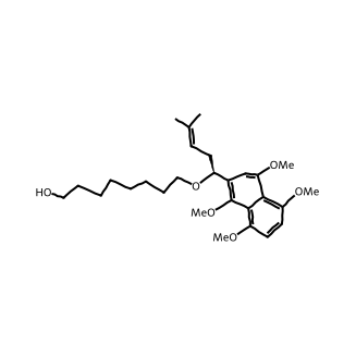 COc1ccc(OC)c2c(OC)c([C@H](CC=C(C)C)OCCCCCCCCO)cc(OC)c12